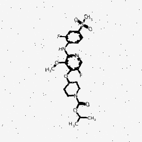 COc1c(Nc2ccc(S(C)(=O)=O)cc2F)ncc(F)c1OC1CCN(C(=O)OC(C)C)CC1